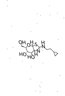 OC[C@H]1O[C@@H]2SC(NCCC3CC3)=N[C@@H]2[C@@H](O)[C@@H]1O